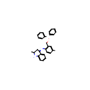 CC(=O)N1c2ccccc2/C(=N\c2ccc(C(C)(C)C)cc2CO[SiH](c2ccccc2)c2ccccc2)CC1C